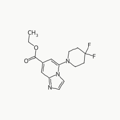 CCOC(=O)c1cc(N2CCC(F)(F)CC2)n2ccnc2c1